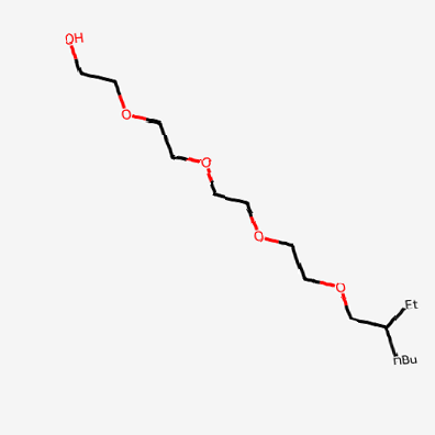 CCCCC(CC)COCCOCCOCCOCCO